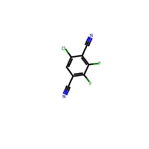 N#Cc1cc(Cl)c(C#N)c(F)c1F